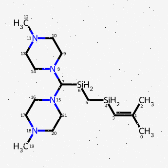 CC(C)=C[SiH2]C[SiH2]C(N1CCN(C)CC1)N1CCN(C)CC1